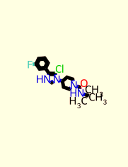 CC(C)(C)NC(=O)N1CCC(N2CNC(c3cccc(F)c3)=C2Cl)CC1